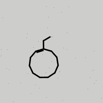 [CH2]C/C1=C/CCCCCCCCC1